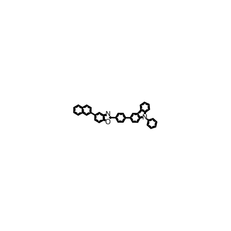 c1ccc(-n2c3ccccc3c3cc(-c4ccc(-c5nc6cc(-c7ccc8ccccc8c7)ccc6o5)cc4)ccc32)cc1